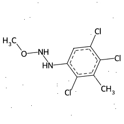 CONNc1cc(Cl)c(Cl)c(C)c1Cl